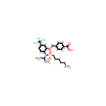 CCCCCCS(=O)(=O)N(c1ccc(C(F)(F)F)cc1OCc1ccc(C(=O)O)cc1)C(C)C